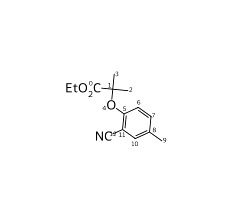 CCOC(=O)C(C)(C)Oc1ccc(C)cc1C#N